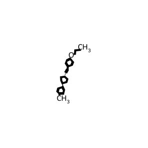 CCCCOc1ccc(C#C[C@H]2CC[C@H](c3ccc(C)cc3)CC2)cc1